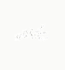 CCOCOC[C@H](C[C@H](COC)C(=O)O)NC(=O)c1ccc(-c2ccco2)cc1